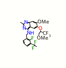 COCC(Oc1cc2c(NCc3cccc(C(C)(F)F)c3F)nc(C)nc2cc1OC)C(F)(F)F